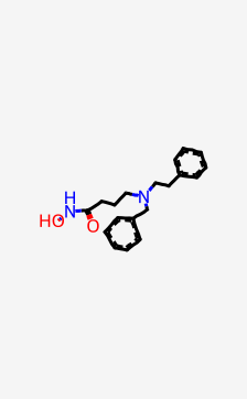 O=C(CCCN(CCc1ccccc1)Cc1ccccc1)NO